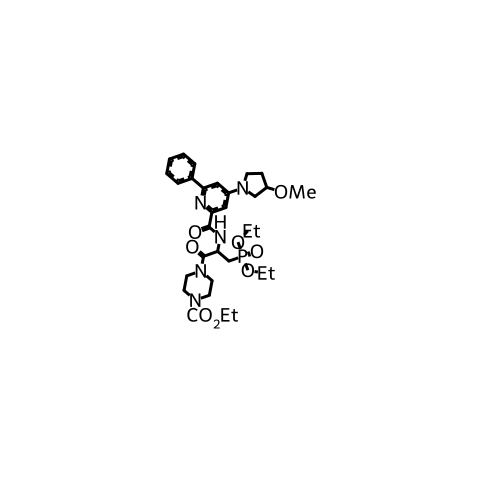 CCOC(=O)N1CCN(C(=O)C(CP(=O)(OCC)OCC)NC(=O)c2cc(N3CCC(OC)C3)cc(-c3ccccc3)n2)CC1